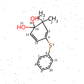 CC1(C)C=C(Sc2ccccc2)C=CC1(O)O